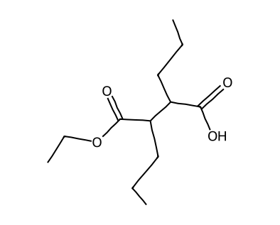 CCCC(C(=O)O)C(CCC)C(=O)OCC